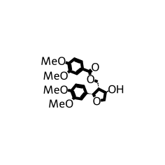 COc1ccc(C(=O)OC[C@@H]2[C@H](O)CO[C@@H]2c2ccc(OC)c(OC)c2)cc1OC